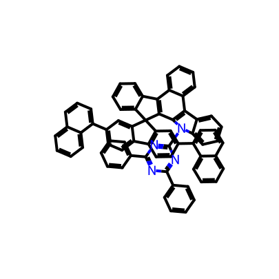 c1ccc(-c2nc(-c3ccccc3)nc(-n3c4ccccc4c4c5ccccc5c5c(c43)C3(c4cc(-c6cccc7ccccc67)ccc4-c4ccc(-c6cccc7ccccc67)cc43)c3ccccc3-5)n2)cc1